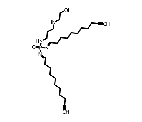 C#CCCCCCCCCC=NP(=O)(N=CCCCCCCCCC#C)NCCCNCCO